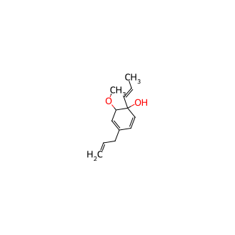 C=CCC1=CC(OC)C(O)(C=CC)C=C1